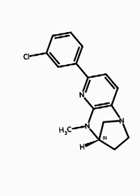 CN1c2nc(-c3cccc(Cl)c3)ccc2N2CC[C@H]1C2